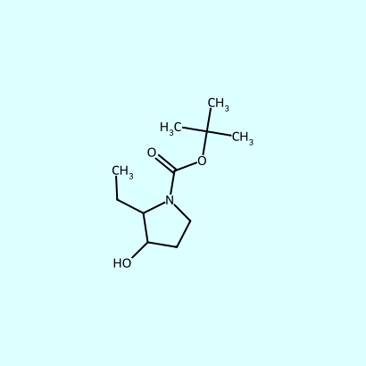 CCC1C(O)CCN1C(=O)OC(C)(C)C